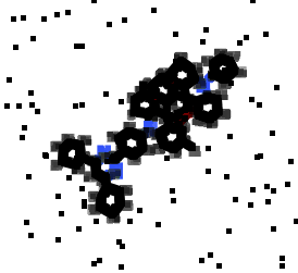 Cc1ccc2c(c1)C1(c3cc(C)ccc3N2c2ccc(-c3nc(-c4ccccc4)cc(-c4ccccc4)n3)cc2)c2ccccc2C2(c3ccccc3N(c3ccccc3)c3ccccc32)c2ccccc21